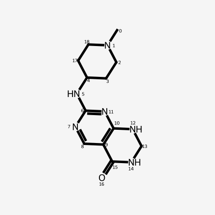 CN1CCC(Nc2ncc3c(n2)NCNC3=O)CC1